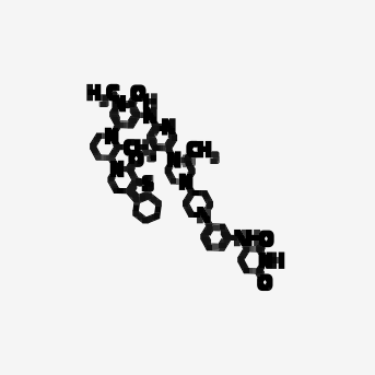 CC1C(N2CCc3c(sc4c3CCCC4)C2=O)CCCN1c1cc(Nc2ccc(N3CCN(C4CCN(c5cccc(NC6CCC(=O)NC6=O)c5)CC4)C[C@@H]3C)cn2)c(=O)n(C)c1